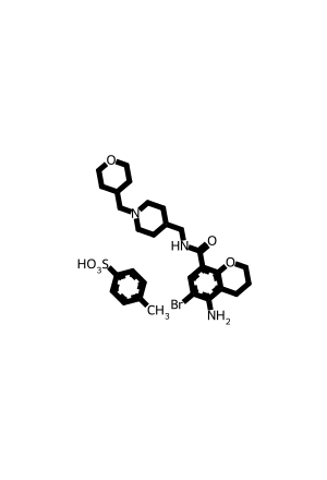 Cc1ccc(S(=O)(=O)O)cc1.Nc1c(Br)cc(C(=O)NCC2CCN(CC3CCOCC3)CC2)c2c1CCCO2